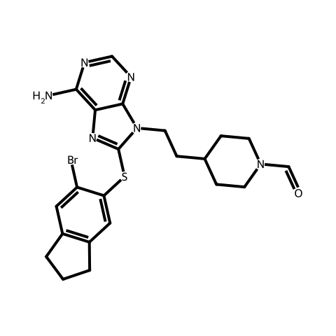 Nc1ncnc2c1nc(Sc1cc3c(cc1Br)CCC3)n2CCC1CCN(C=O)CC1